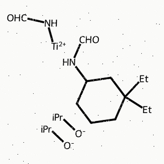 CC(C)[O-].CC(C)[O-].CCC1(CC)CCCC(NC=O)C1.O=C[NH][Ti+2]